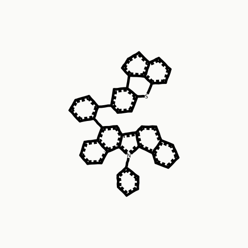 c1ccc(-n2c3c4ccccc4ccc3c3cc(-c4ccccc4-c4ccc5c(c4)-c4cccc6cccc(c46)S5)c4ccccc4c32)cc1